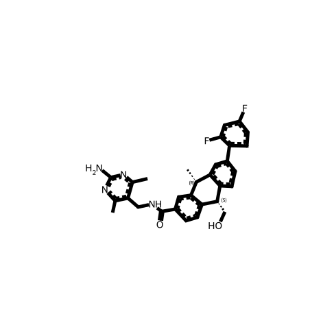 Cc1nc(N)nc(C)c1CNC(=O)c1ccc2c(c1)[C@H](C)c1cc(-c3ccc(F)cc3F)ccc1[C@@H]2CO